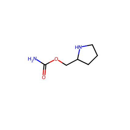 NC(=O)OCC1CCCN1